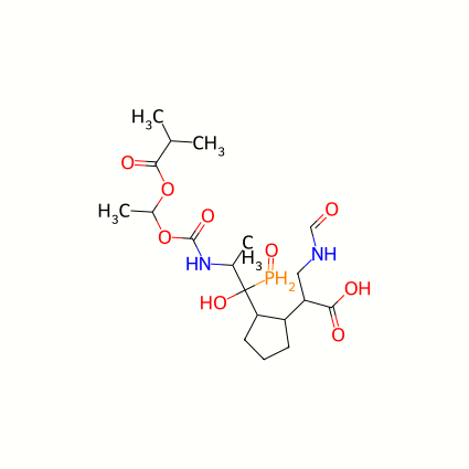 CC(OC(=O)NC(C)C(O)([PH2]=O)C1CCCC1C(CNC=O)C(=O)O)OC(=O)C(C)C